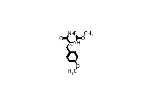 COC(=O)N[C@@H](Cc1ccc(OC)cc1)C(N)=O